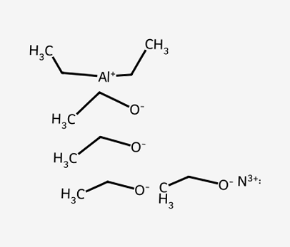 CC[O-].CC[O-].CC[O-].CC[O-].C[CH2][Al+][CH2]C.[N+3]